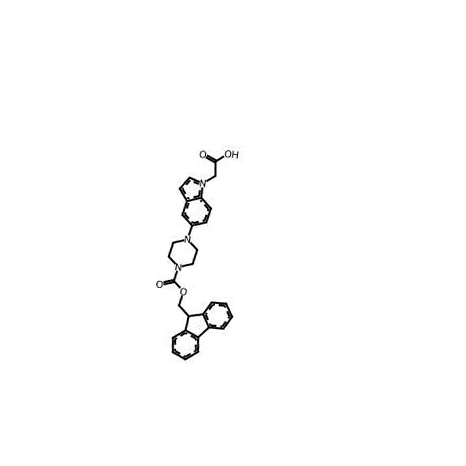 O=C(O)Cn1ccc2cc(N3CCN(C(=O)OCC4c5ccccc5-c5ccccc54)CC3)ccc21